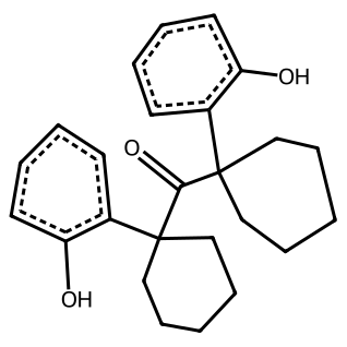 O=C(C1(c2ccccc2O)CCCCC1)C1(c2ccccc2O)CCCCC1